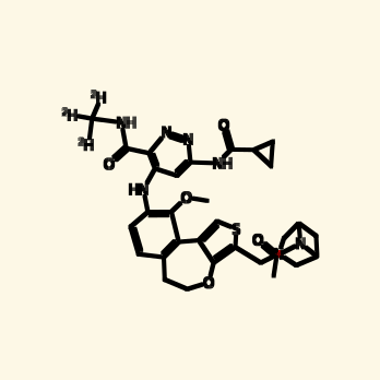 [2H]C([2H])([2H])NC(=O)c1nnc(NC(=O)C2CC2)cc1Nc1ccc2c(c1OC)-c1csc(CN3CC4CC(C3)N4C(C)=O)c1OCC2